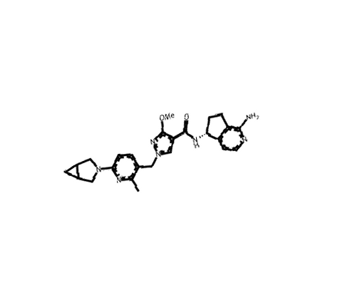 COc1nn(Cc2ccc(N3CC4CC4C3)nc2C)cc1C(=O)N[C@@H]1CCc2c1ccnc2N